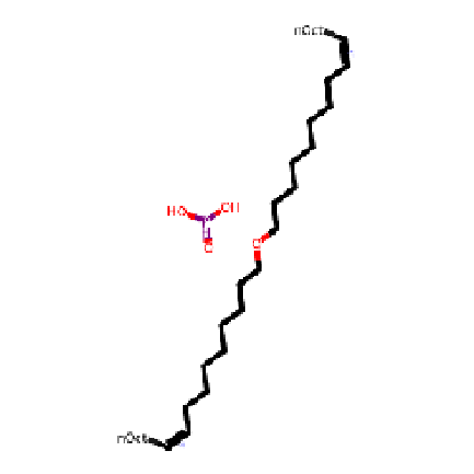 CCCCCCCC/C=C\CCCCCCCCOCCCCCCCC/C=C\CCCCCCCC.O=[PH](O)O